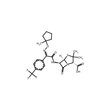 CC1(O/N=C(\C(=O)N[C@@H]2C(=O)N3[C@@H]2SC(C)(C)[C@@H]3C(=O)O)c2ccc(C(F)(F)F)cc2)CCCC1